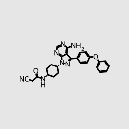 N#CCC(=O)N[C@H]1CC[C@H](n2nc(-c3ccc(Oc4ccccc4)cc3)c3c(N)ncnc32)CC1